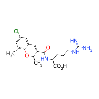 Cc1cc(Cl)cc2c1O[C@H](C(F)(F)F)C(C(=O)N[C@@H](CCCNC(=N)N)C(=O)O)=C2